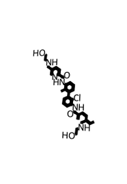 C=C(/C=C\C(=C/C)CNCCO)C(=O)Nc1cccc(-c2cccc(NC(=O)c3ccc(CNCCO)cn3)c2C)c1Cl